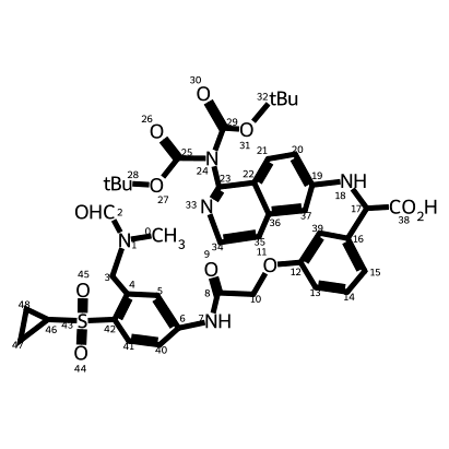 CN(C=O)Cc1cc(NC(=O)COc2cccc(C(Nc3ccc4c(N(C(=O)OC(C)(C)C)C(=O)OC(C)(C)C)nccc4c3)C(=O)O)c2)ccc1S(=O)(=O)C1CC1